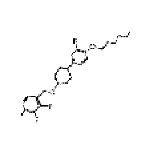 CCCCCCOc1ccc(C2CCC(OCc3ccc(C)c(F)c3F)CC2)cc1F